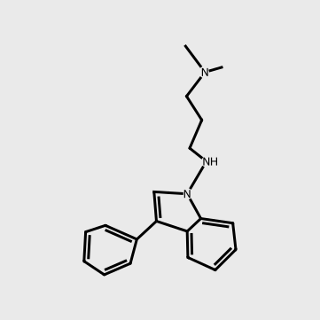 CN(C)CCCNn1cc(-c2ccccc2)c2ccccc21